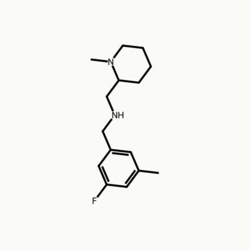 Cc1cc(F)cc(CNCC2CCCCN2C)c1